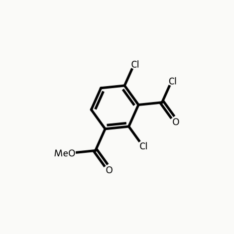 COC(=O)c1ccc(Cl)c(C(=O)Cl)c1Cl